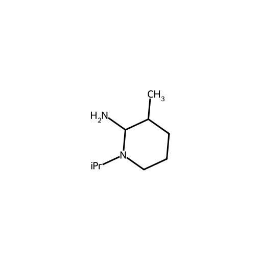 CC1CCCN(C(C)C)C1N